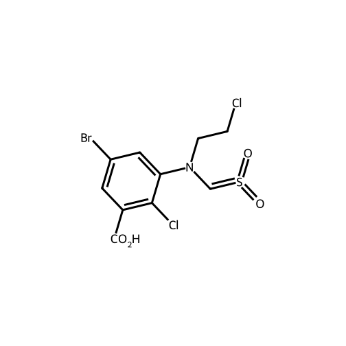 O=C(O)c1cc(Br)cc(N(C=S(=O)=O)CCCl)c1Cl